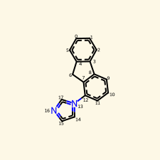 c1ccc2c(c1)Cc1c-2cccc1-n1ccnc1